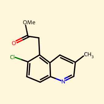 COC(=O)Cc1c(Cl)ccc2ncc(C)cc12